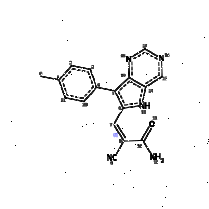 Cc1ccc(-c2c(/C=C(/C#N)C(N)=O)[nH]c3cncnc23)cc1